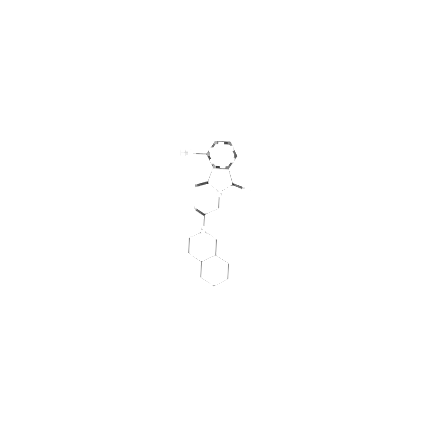 O=C(CN1C(=O)c2cccc(O)c2C1=O)N1CCC2CCCCC2C1